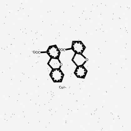 O=C([O-])c1cccc2c1Cc1ccccc1O2.O=C([O-])c1cccc2c1Cc1ccccc1O2.[Co+2]